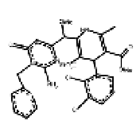 CCOC(=O)C1=C(C(OC)c2cc(=O)n(Cc3ccccn3)c(N)n2)NC(C)=C(C(=O)OC)C1c1cccc(Cl)c1Cl